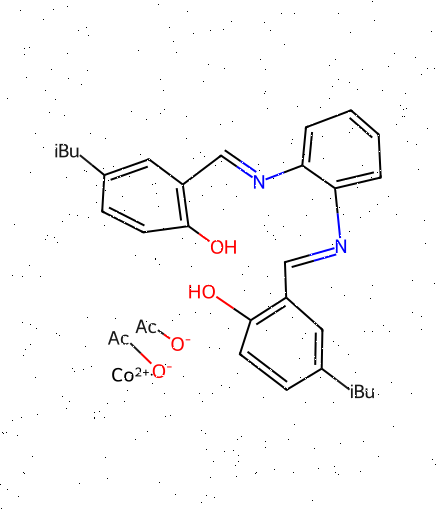 CC(=O)[O-].CC(=O)[O-].CCC(C)c1ccc(O)c(C=Nc2ccccc2N=Cc2cc(C(C)CC)ccc2O)c1.[Co+2]